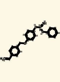 C=Cc1ccc(COc2ccc(O[PH](=N)Oc3ccccc3)cc2)cc1